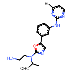 CCc1ccnc(Nc2cccc(-c3cnc(N(CCN)C(C)C=O)o3)c2)n1